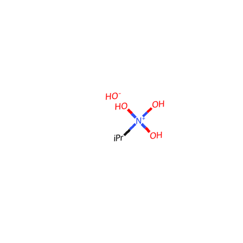 CC(C)[N+](O)(O)O.[OH-]